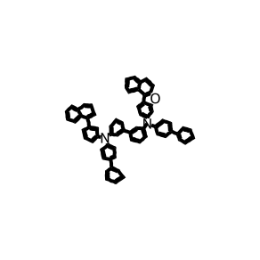 c1ccc(-c2ccc(N(c3cccc(-c4cccc(N(c5ccc(-c6ccccc6)cc5)c5ccc6c(c5)oc5ccc7ccccc7c56)c4)c3)c3cccc(-c4cccc5ccccc45)c3)cc2)cc1